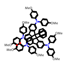 COc1ccc(N(c2ccc(OC)cc2)c2ccc3c(c2)C(c2ccccc2)(C2(c4ccccc4)c4cc(N(c5ccc(OC)cc5)c5ccc(OC)cc5)ccc4-c4ccc(N(c5ccc(OC)cc5)c5ccc(OC)cc5)cc42)c2cc(N(c4ccc(OC)cc4)c4ccc(OC)cc4)ccc2-3)cc1